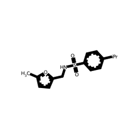 Cc1ccc(CNS(=O)(=O)c2ccc(C(C)C)cc2)o1